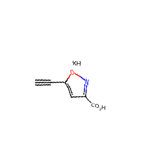 C#Cc1cc(C(=O)O)no1.[KH]